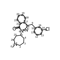 CN1CCCC(n2nc(Cc3cccc(Cl)c3)c3ccccc3c2=O)CC1